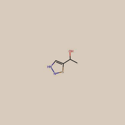 CC(O)C1=CN[N]S1